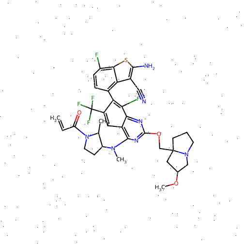 C=CC(=O)N1CCC(N(C)c2nc(OCC34CCCN3CC(OC)C4)nc3c(F)c(-c4ccc(F)c5sc(N)c(C#N)c45)c(C(F)(F)F)cc23)C1C